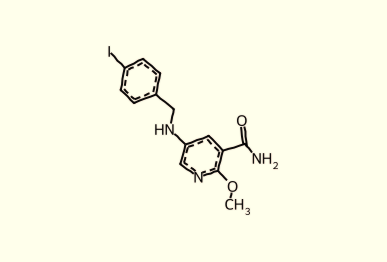 COc1ncc(NCc2ccc(I)cc2)cc1C(N)=O